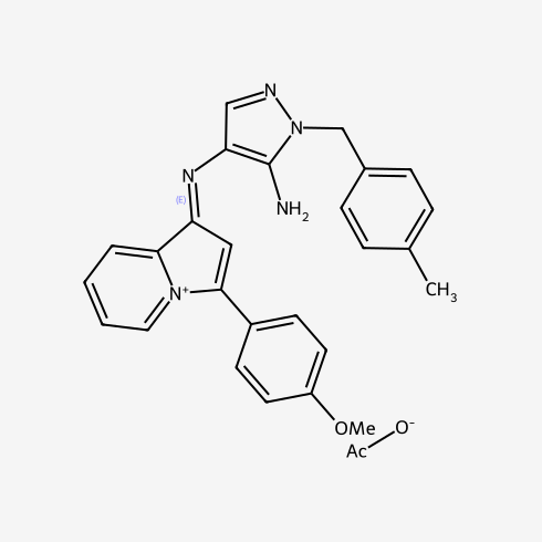 CC(=O)[O-].COc1ccc(C2=C/C(=N\c3cnn(Cc4ccc(C)cc4)c3N)c3cccc[n+]32)cc1